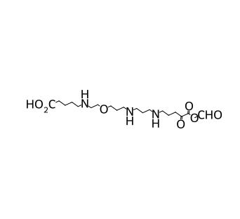 O=COC(=O)C(=O)CCCNCCCNCCCOCCNCCCCC(=O)O